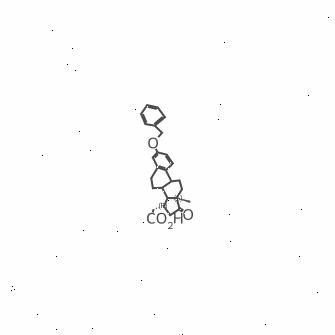 C[C@]12CCC3c4ccc(OCc5ccccc5)cc4CCC3C1[C@@H](CC(=O)O)CC2=O